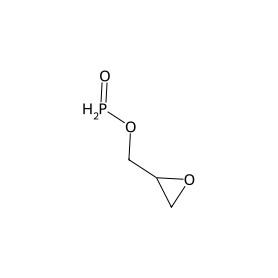 O=[PH2]OCC1CO1